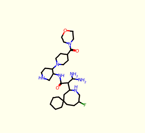 NC(N)C(C(=O)NC1CNCCC1N1CCC(C(=O)N2CCOCC2)CC1)C1CC2(CCCCC2)CCC(F)CN1